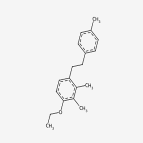 CCOc1ccc(CCc2ccc(C)cc2)c(C)c1C